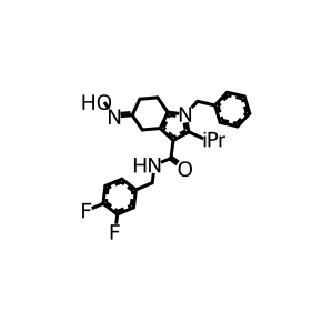 CC(C)c1c(C(=O)NCc2ccc(F)c(F)c2)c2c(n1Cc1ccccc1)CCC(=NO)C2